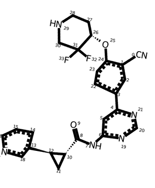 N#Cc1cc(-c2cc(NC(=O)[C@@H]3C[C@H]3c3cccnc3)ncn2)ccc1O[C@H]1CCNCC1(F)F